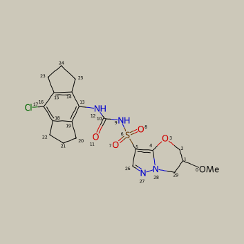 COC1COc2c(S(=O)(=O)NC(=O)Nc3c4c(c(Cl)c5c3CCC5)CCC4)cnn2C1